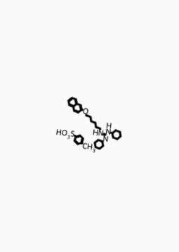 Cc1ccc(S(=O)(=O)O)cc1.c1ccc2cc(OCCCCCCN/C(=N\C3CCCCC3)NC3CCCCC3)ccc2c1